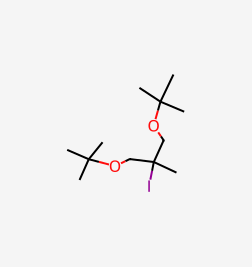 CC(I)(COC(C)(C)C)COC(C)(C)C